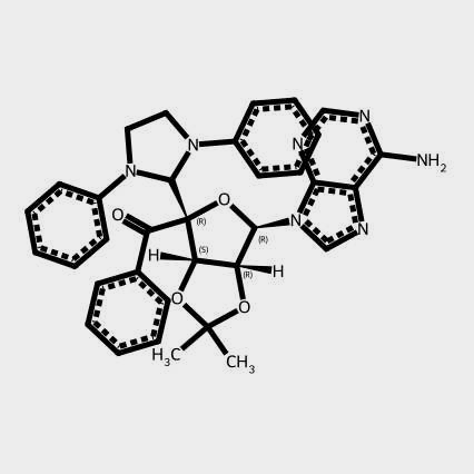 CC1(C)O[C@H]2[C@H](n3cnc4c(N)ncnc43)O[C@](C(=O)c3ccccc3)(C3N(c4ccccc4)CCN3c3ccccc3)[C@H]2O1